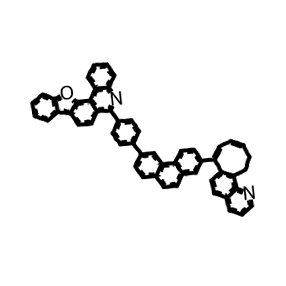 C1=C\CCc2c(ccc3cccnc23)\C(c2ccc3c(ccc4ccc(-c5ccc(-c6nc7ccccc7c7c6ccc6c8ccccc8oc67)cc5)cc43)c2)=C/1